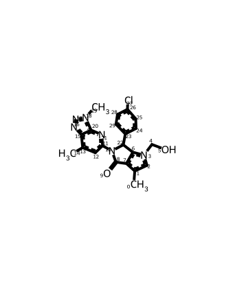 Cc1cn(CO)c2c1C(=O)N(c1cc(C)c3nnn(C)c3n1)C2c1ccc(Cl)cc1